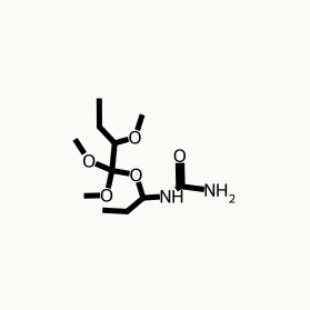 CCC(NC(N)=O)OC(OC)(OC)C(CC)OC